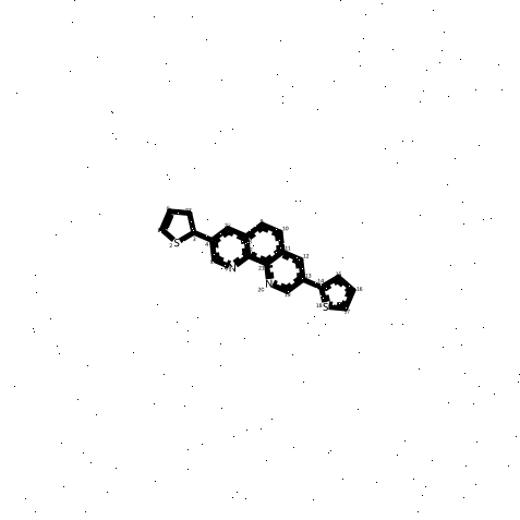 C1=CSC(c2cnc3c(ccc4cc(-c5cccs5)cnc43)c2)C1